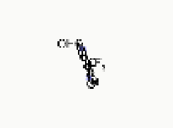 C=C(C)C(=O)O/C=C\Oc1ccc(-c2ccc(O/C=C\OC=O)cc2)c(C(F)(F)F)c1